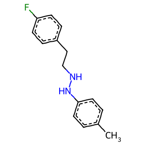 Cc1ccc(NNCCc2ccc(F)cc2)cc1